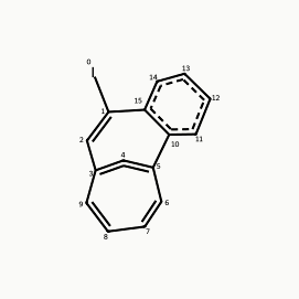 IC1=CC2=C=C(C=CC=C2)c2ccccc21